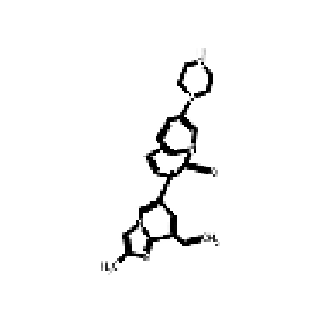 C=Cc1cc(C2=C\C(=O)N3C=C(N4CCNCC4)C=C\C3=C/C=C/2)cn2cc(C)nc12